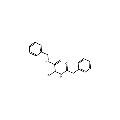 CC(C)C(NC(=O)Cc1ccccc1)C(=O)NCc1ccccc1